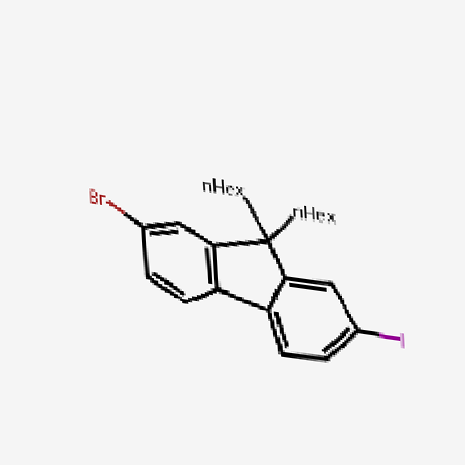 CCCCCCC1(CCCCCC)c2cc(Br)ccc2-c2ccc(I)cc21